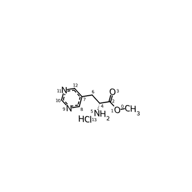 COC(=O)[C@H](N)Cc1cncnc1.Cl